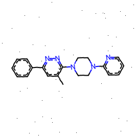 Cc1cc(-c2ccccc2)nnc1N1CCN(c2ccccn2)CC1